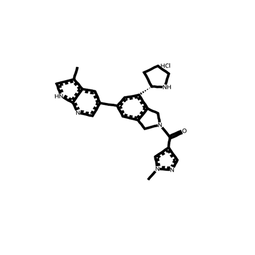 Cc1c[nH]c2ncc(-c3cc4c(c([C@@H]5CCCN5)c3)CN(C(=O)c3cnn(C)c3)C4)cc12.Cl